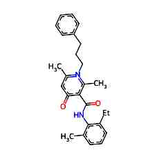 CCc1cccc(C)c1NC(=O)c1c(C)n(CCCc2ccccc2)c(C)cc1=O